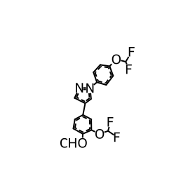 O=Cc1ccc(-c2cnn(-c3ccc(OC(F)F)cc3)c2)cc1OC(F)F